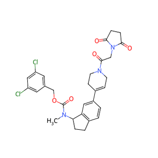 CN(C(=O)OCc1cc(Cl)cc(Cl)c1)C1CCc2ccc(C3=CCN(C(=O)CN4C(=O)CCC4=O)CC3)cc21